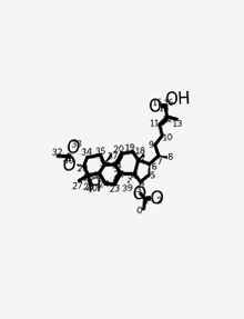 CC(=O)O[C@H]1C[C@H]([C@H](C)CC/C=C(\C)C(=O)O)[C@@]2(C)CC=C3C(=CC[C@H]4C(C)(C)[C@H](OC(C)=O)CC[C@]34C)[C@]12C